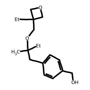 CCC1(COC(C)(CC)Cc2ccc(CO)cc2)COC1